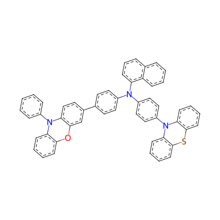 c1ccc(N2c3ccccc3Oc3cc(-c4ccc(N(c5ccc(N6c7ccccc7Sc7ccccc76)cc5)c5cccc6ccccc56)cc4)ccc32)cc1